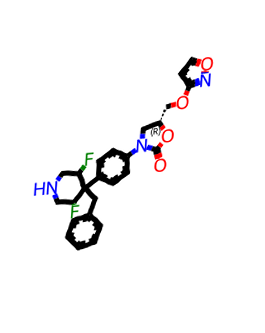 O=C1O[C@@H](COc2ccon2)CN1c1ccc(C2(Cc3ccccc3)C(F)CNCC2F)cc1